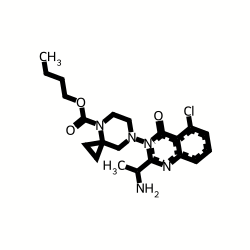 CCCCOC(=O)N1CCN(n2c(C(C)N)nc3cccc(Cl)c3c2=O)CC12CC2